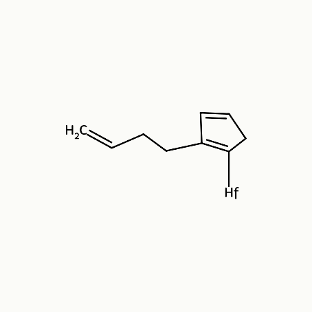 C=CCCC1=[C]([Hf])CC=C1